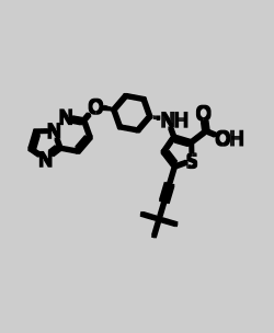 CC(C)(C)C#Cc1cc(N[C@H]2CC[C@H](Oc3ccc4nccn4n3)CC2)c(C(=O)O)s1